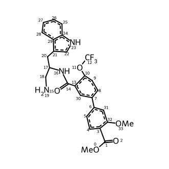 COC(=O)c1ccc(-c2ccc(OC(F)(F)F)c(C(=O)NC(CN)Cc3c[nH]c4ccccc34)c2)cc1OC